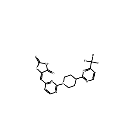 O=C1NC(=O)/C(=C\c2ccnc(N3CCN(c4nccc(C(F)(F)F)n4)CC3)n2)S1